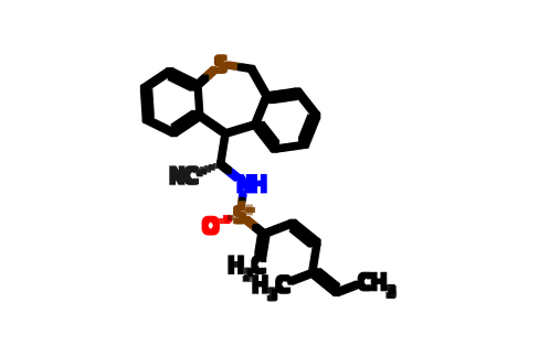 C=C(/C=C\C(C)=C/C)[S@+]([O-])N[C@H](C#N)C1c2ccccc2CSc2ccccc21